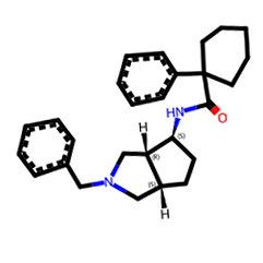 O=C(N[C@H]1CC[C@@H]2CN(Cc3ccccc3)C[C@@H]21)C1(c2ccccc2)CCCCC1